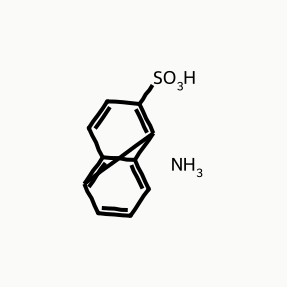 N.O=S(=O)(O)c1ccc2c3cccc2c13